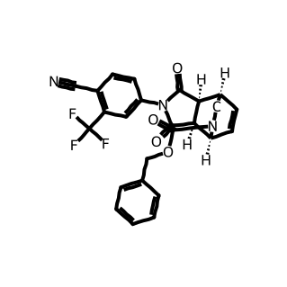 N#Cc1ccc(N2C(=O)[C@@H]3[C@H](C2=O)[C@@H]2C=C[C@H]3CN2C(=O)OCc2ccccc2)cc1C(F)(F)F